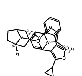 O=C(O)c1cnc2cc(N3C4CC[C@H]3CC(OCc3c(-c5ccccc5OC(F)(F)F)noc3C3CC3)C4)ccn12